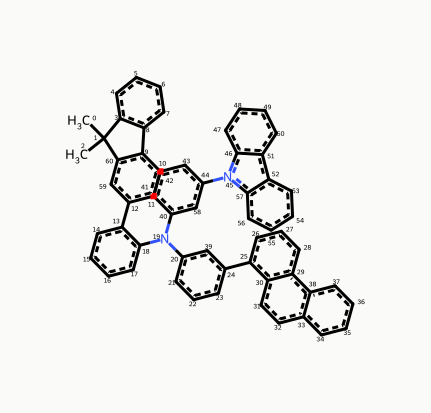 CC1(C)c2ccccc2-c2ccc(-c3ccccc3N(c3cccc(-c4cccc5c4ccc4ccccc45)c3)c3cccc(-n4c5ccccc5c5ccccc54)c3)cc21